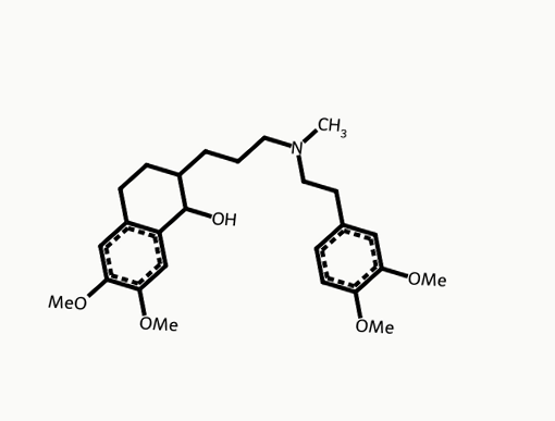 COc1ccc(CCN(C)CCCC2CCc3cc(OC)c(OC)cc3C2O)cc1OC